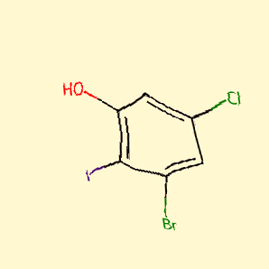 Oc1cc(Cl)cc(Br)c1I